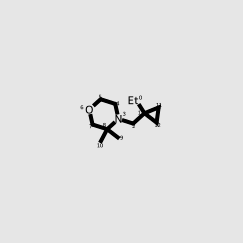 CCC1(CN2CCOCC2(C)C)CC1